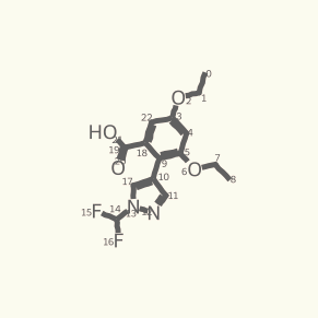 CCOc1cc(OCC)c(-c2cnn(C(F)F)c2)c(C(=O)O)c1